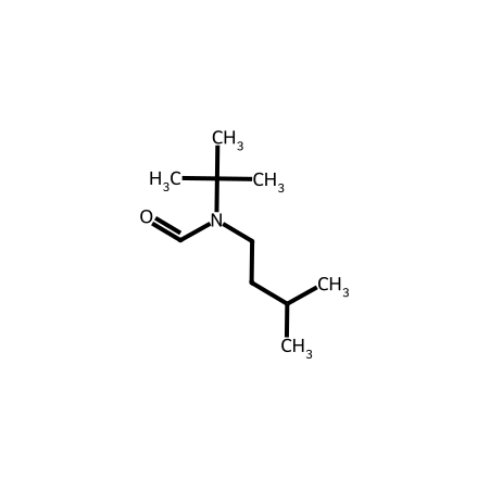 CC(C)CCN(C=O)C(C)(C)C